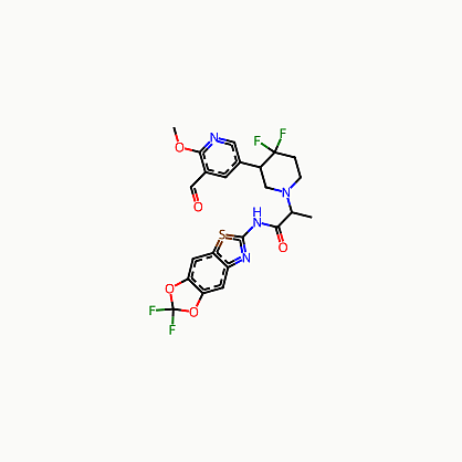 COc1ncc(C2CN(C(C)C(=O)Nc3nc4cc5c(cc4s3)OC(F)(F)O5)CCC2(F)F)cc1C=O